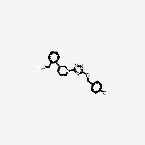 C=Cc1ccccc1C1=CC=CN(c2nnc(OCc3ccc(Cl)cc3)s2)C1